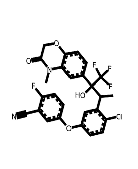 CC(c1cc(Oc2ccc(F)c(C#N)c2)ccc1Cl)C(O)(c1ccc2c(c1)N(C)C(=O)CO2)C(F)(F)F